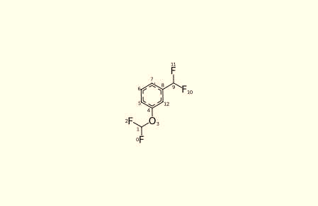 FC(F)Oc1cc[c]c(C(F)F)c1